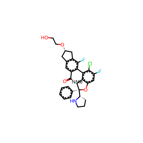 CNC(=O)c1cc2c(c(F)c1-c1c(Cl)c(F)cc3c1C[C@](c1ccccc1)([C@@H]1CCCN1)O3)C[C@@H](OCCO)C2